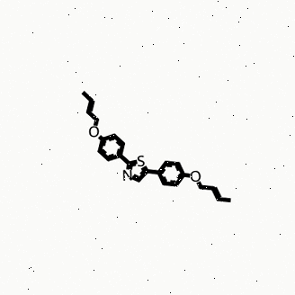 CC=CCOc1ccc(-c2cnc(-c3ccc(OCC=CC)cc3)s2)cc1